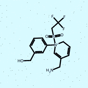 NCC1=C[N+](c2cccc(CO)c2)(S(=O)(=O)CC(F)(F)F)CC=C1